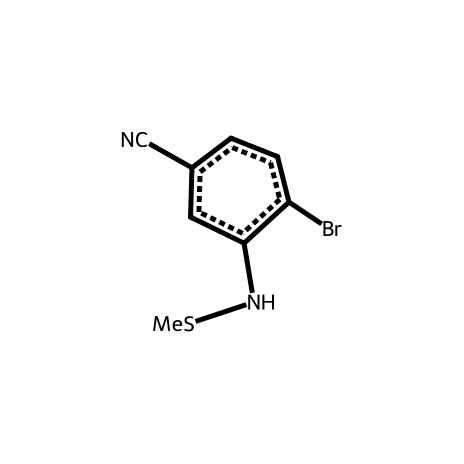 CSNc1cc(C#N)ccc1Br